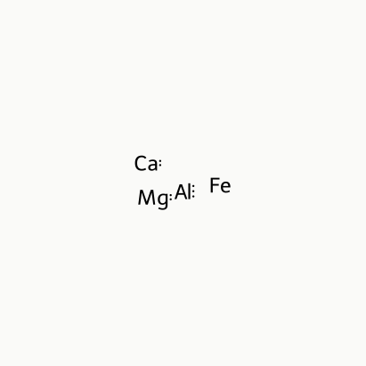 [Al].[Ca].[Fe].[Mg]